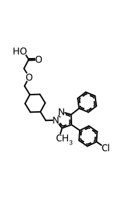 Cc1c(-c2ccc(Cl)cc2)c(-c2ccccc2)nn1CC1CCC(COCC(=O)O)CC1